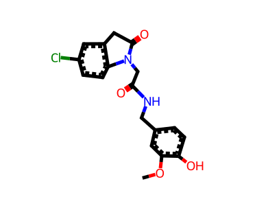 COc1cc(CNC(=O)CN2C(=O)Cc3cc(Cl)ccc32)ccc1O